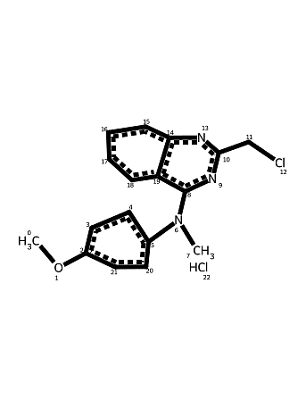 COc1ccc(N(C)c2nc(CCl)nc3ccccc23)cc1.Cl